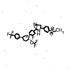 CCS(=O)(=O)c1ccc(C(CC#N)NC(=O)c2ccc(N3C[C@H](c4ccc(C(F)(F)F)cc4)CC[C@H]3COC(F)F)c(F)c2)cc1